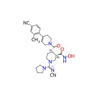 Cc1cc(C#N)ccc1C1=CCN(C(=O)[C@H]2CCN(/C(=N/C#N)N3CCCC3)C[C@@H]2C(=O)NO)CC1